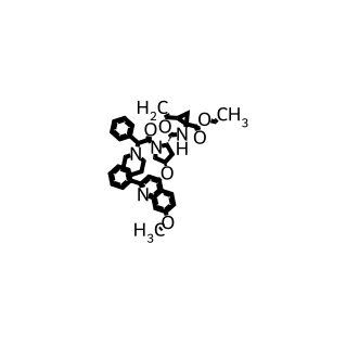 C=CC1CC1(NC(=O)[C@@H]1C[C@@H](Oc2cc(-c3ccccc3)nc3cc(OC)ccc23)CN1C(=O)C(c1ccccc1)N1CCCCC1)C(=O)OCC